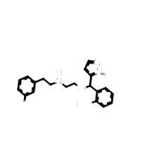 Cn1nccc1C(OCCNCCc1cccc(F)c1)c1ccccc1O